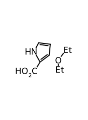 CCOCC.O=C(O)c1ccc[nH]1